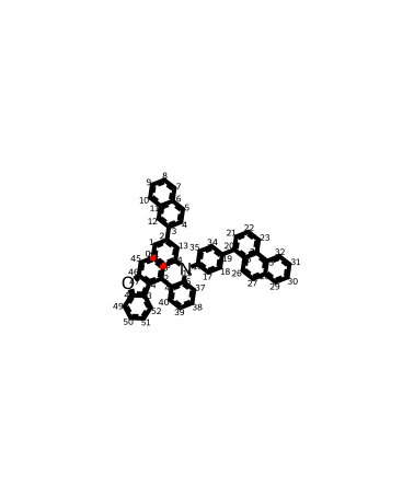 c1cc(-c2ccc3ccccc3c2)cc(N(c2ccc(-c3cccc4c3ccc3ccccc34)cc2)c2ccccc2-c2cccc3oc4ccccc4c23)c1